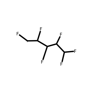 F[CH]C(F)C(F)C(F)C(F)F